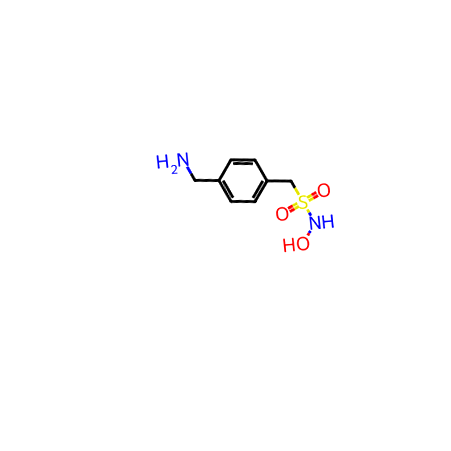 NCc1ccc(CS(=O)(=O)NO)cc1